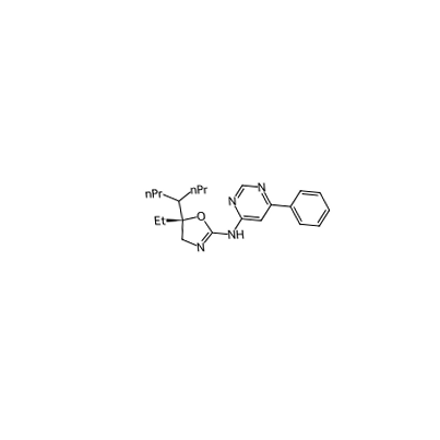 CCCC(CCC)[C@@]1(CC)CN=C(Nc2cc(-c3ccccc3)ncn2)O1